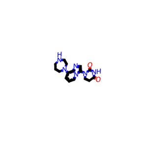 O=C1CCN(c2cnc3c(N4CCCNCC4)cccn23)C(=O)N1